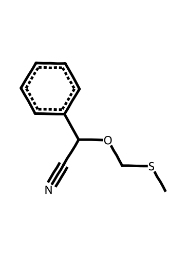 CSCOC(C#N)c1ccccc1